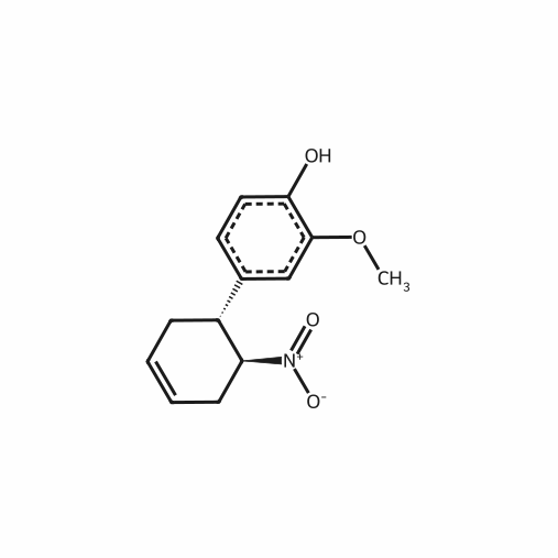 COc1cc([C@H]2CC=CC[C@@H]2[N+](=O)[O-])ccc1O